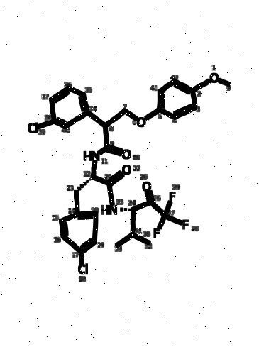 COc1ccc(OCC(C(=O)N[C@@H](Cc2ccc(Cl)cc2)C(=O)N[C@H](C(=O)C(F)(F)F)C(C)C)c2cccc(Cl)c2)cc1